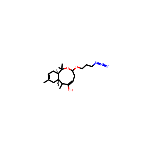 CC1=CC[C@@H]2[C@@H](C1)C(C)/C(O)=C\CC(OCCCN=[N+]=[N-])OC2(C)C